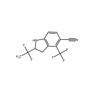 CC(F)(F)C1Cc2c(ccc(C#N)c2C(F)(F)F)N1